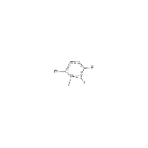 CCc1ccc(F)c(F)c1C